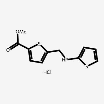 COC(=O)c1ccc(CPc2cccs2)s1.Cl